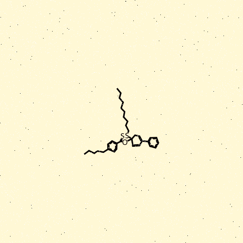 CCCCCCCCCCSC1(OC(=S)c2ccc(CCCCC)cc2)C=CC(c2ccccc2)=CC1